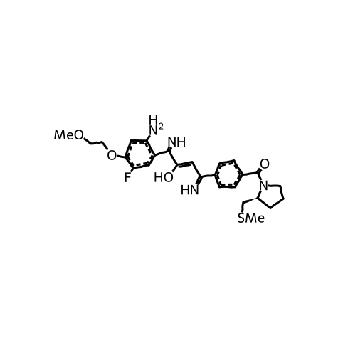 COCCOc1cc(N)c(C(=N)/C(O)=C/C(=N)c2ccc(C(=O)N3CCC[C@H]3CSC)cc2)cc1F